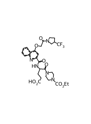 CCOC(=O)N1CCN(C(=O)C(CCC(=O)O)NC(=O)c2cc(OCC(=O)N3CCC(C(F)(F)F)C3)c3ccccc3n2)CC1